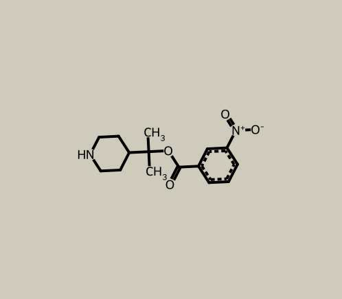 CC(C)(OC(=O)c1cccc([N+](=O)[O-])c1)C1CCNCC1